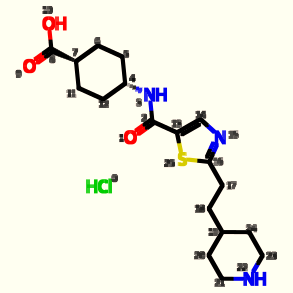 Cl.O=C(N[C@H]1CC[C@H](C(=O)O)CC1)c1cnc(CCC2CCNCC2)s1